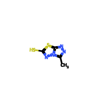 Cc1nnc2sc(S)nn12